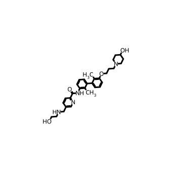 Cc1c(NC(=O)c2ccc(CNCCO)cn2)cccc1-c1cccc(OCCCN2CCC(O)CC2)c1C